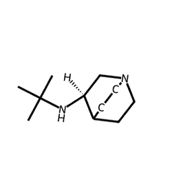 CC(C)(C)N[C@H]1CN2CCC1CC2